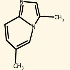 Cc1ccc2ncc(C)n2c1